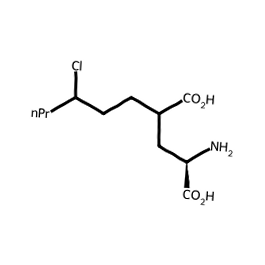 CCCC(Cl)CCC(C[C@@H](N)C(=O)O)C(=O)O